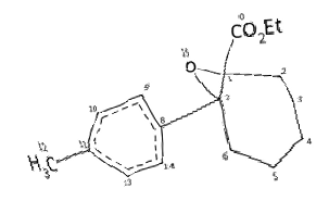 CCOC(=O)C12CCCCCC1(c1ccc(C)cc1)O2